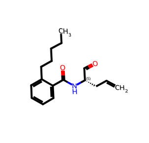 C=CC[C@@H](C=O)NC(=O)c1ccccc1CCCCC